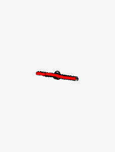 CCCCCCCCCCCCCCC=CC=COC(=O)OC=CC=CCCCCCCCCCCCCCC